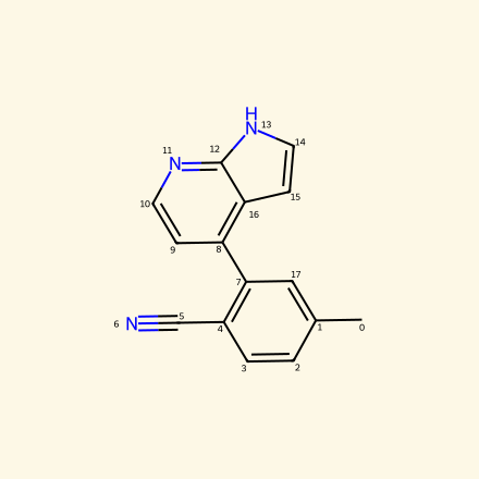 Cc1ccc(C#N)c(-c2ccnc3[nH]ccc23)c1